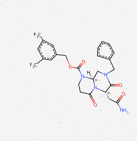 NC(=O)C[C@H]1C(=O)N(Cc2ccccc2)C[C@@H]2N(C(=O)OCc3cc(C(F)(F)F)cc(C(F)(F)F)c3)CCC(=O)N21